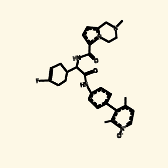 Cc1cc[n+]([O-])c(C)c1-c1ccc(NC(=O)C(NC(=O)c2ccc3n2CCN(C)C3)C2CC=C(F)CC2)cc1